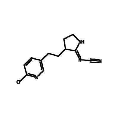 N#CN=C1NCCC1CCc1ccc(Cl)nc1